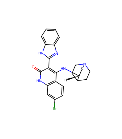 O=c1[nH]c2cc(Br)ccc2c(N[C@@H]2CN3CCC2CC3)c1-c1nc2ccccc2[nH]1